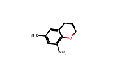 Cc1cc2c(c([N+](=O)[O-])c1)OCCC2